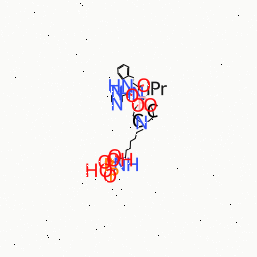 CC(C)C[C@@H](NC(=O)[C@@H](Cc1ccccc1)NC(=O)c1cnccn1)B1OCCCN(CCCCCCCC(=O)NC(P=O)P(=O)(O)O)CCCO1